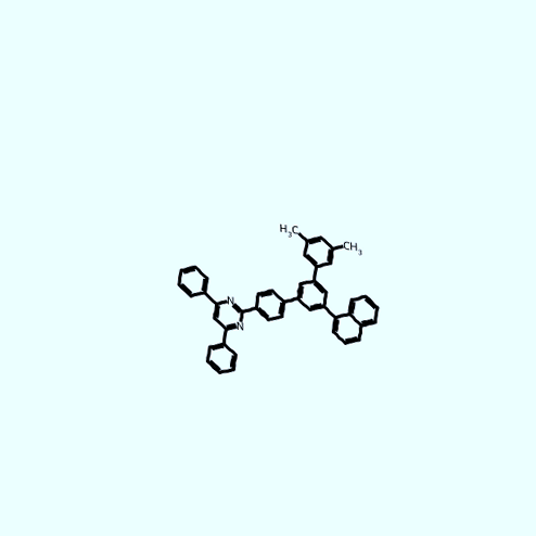 Cc1cc(C)cc(-c2cc(-c3ccc(-c4nc(-c5ccccc5)cc(-c5ccccc5)n4)cc3)cc(-c3cccc4ccccc34)c2)c1